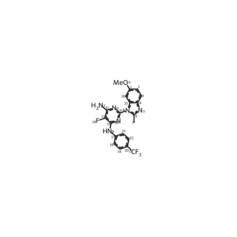 COc1ccc2nc(C)n(-c3nc(N)c(F)c(Nc4ccc(C(F)(F)F)cc4)n3)c2c1